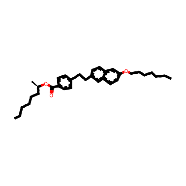 CCCCCCCOc1ccc2cc(CCc3ccc(C(=O)O[C@H](C)CCCCCC)cc3)ccc2c1